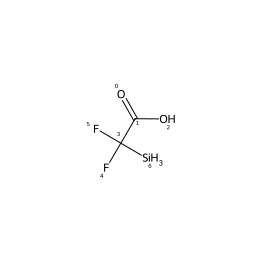 O=C(O)C(F)(F)[SiH3]